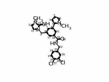 Cn1cccc1-c1cc(Cn2ccn(C)c2=N)cc(C(=O)NCc2ccc(Cl)c(Cl)c2)c1